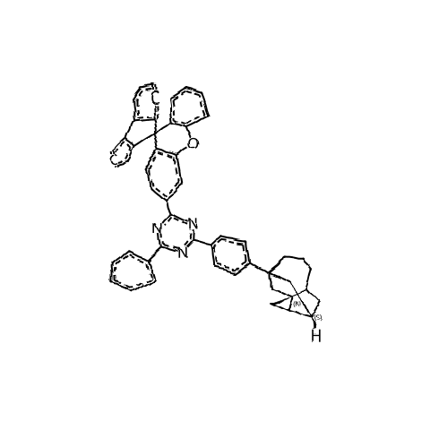 c1ccc(-c2nc(-c3ccc(C45CCCC6C[C@@H](C4)C4C[C@@]64C5)cc3)nc(-c3ccc4c(c3)Oc3ccccc3C43c4ccccc4-c4ccccc43)n2)cc1